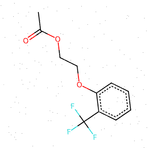 CC(=O)OCCOc1ccccc1C(F)(F)F